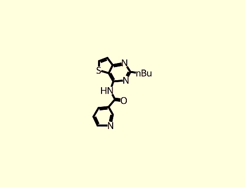 CCCCc1nc(NC(=O)c2cccnc2)c2sccc2n1